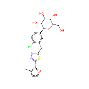 Cc1ccoc1-c1nnc(Cc2cc([C@@H]3O[C@H](CO)[C@@H](O)[C@H](O)[C@H]3O)ccc2Cl)s1